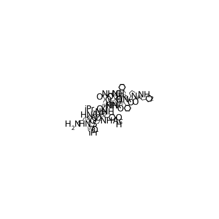 CC(=O)NCCSC(=O)[C@H](CC(C)C)NC(=O)[C@H](CCCN)NC(=O)[C@@H](NC(=O)[C@H](Cc1ccc(O)cc1)NC(=O)[C@H](CCC(N)=O)NC(=O)[C@H](CC(N)=O)NC(=O)[C@@H](Cc1ccccc1)OC(=O)[C@H](Cc1ccccc1)NC(=O)C1CCCN1C(=O)[C@H](N)Cc1ccccc1)C(C)C